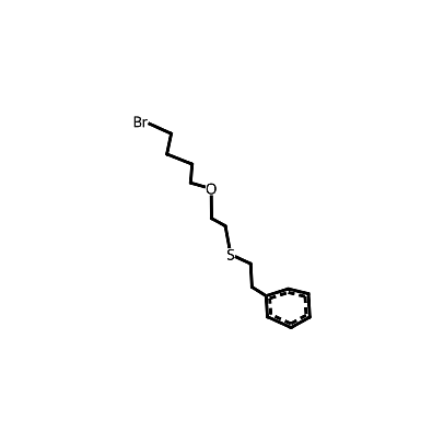 BrCCCCOCCSCCc1ccccc1